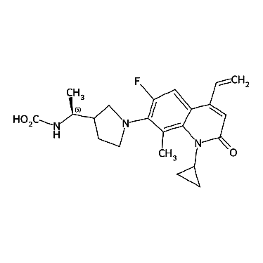 C=Cc1cc(=O)n(C2CC2)c2c(C)c(N3CCC([C@H](C)NC(=O)O)C3)c(F)cc12